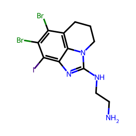 NCCNc1nc2c(I)c(Br)c(Br)c3c2n1CCC3